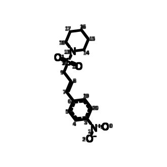 O=[N+]([O-])c1ccc(C=CCS(=O)(=O)N2CCCCC2)cc1